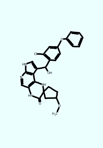 COC1CCC2(C1)Nc1c(cnc3[nH]cc(C(O)c4ccc(Oc5ccccc5)cc4Cl)c13)NC2=O